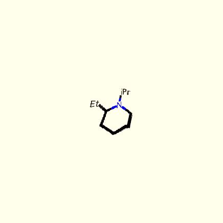 [CH2]C(C)N1CCCCC1CC